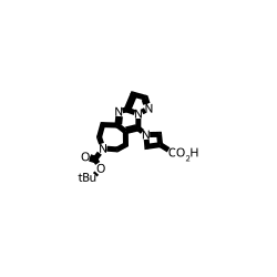 CC(C)(C)OC(=O)N1CCc2nc3ccnn3c(N3CC(C(=O)O)C3)c2CC1